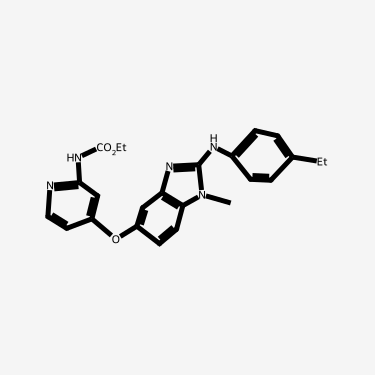 CCOC(=O)Nc1cc(Oc2ccc3c(c2)nc(Nc2ccc(CC)cc2)n3C)ccn1